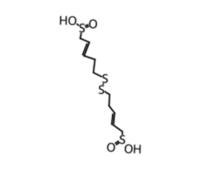 O=S(O)C/C=C/CCSSCC/C=C/CS(=O)O